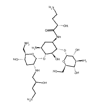 NCCC(O)CN[C@@H]1C[C@H](O)[C@@H](CN)O[C@@H]1O[C@H]1[C@H](O)[C@@H](O[C@H]2O[C@H](CO)[C@@H](O)[C@H](N)[C@H]2O)[C@H](NC(=O)[C@@H](O)CCN)C[C@@H]1N